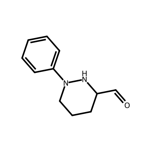 O=CC1CCCN(c2ccccc2)N1